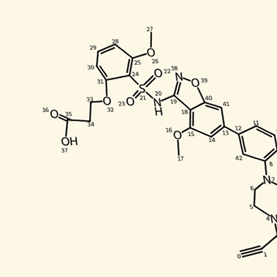 C#CC(=O)N1CCN(c2cccc(-c3cc(OC)c4c(NS(=O)(=O)c5c(OC)cccc5OCCC(=O)O)noc4c3)c2)CC1